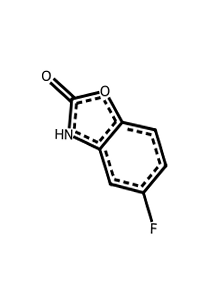 O=c1[nH]c2cc(F)ccc2o1